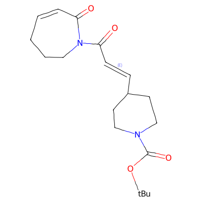 CC(C)(C)OC(=O)N1CCC(/C=C/C(=O)N2CCCC=CC2=O)CC1